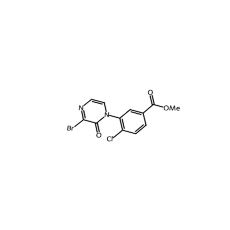 COC(=O)c1ccc(Cl)c(-n2ccnc(Br)c2=O)c1